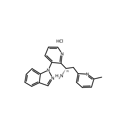 Cc1cccc(C[C@H](N)c2ncccc2-n2ncc3ccccc32)n1.Cl